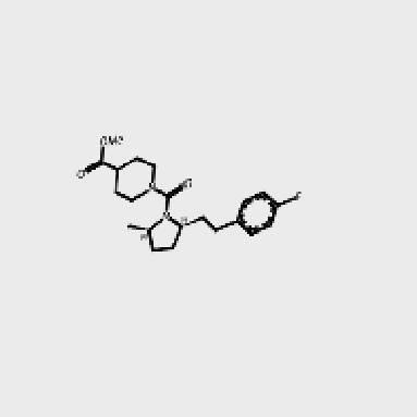 COC(=O)C1CCN(C(=O)N2[C@@H](CCc3ccc(F)cc3)CC[C@H]2C)CC1